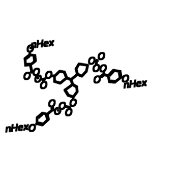 CCCCCCOc1ccc(C(=O)OOC(=O)OC2CCC(C(C3CCC(OC(=O)OOC(=O)c4ccc(OCCCCCC)cc4)CC3)C3CCC(OC(=O)OOC(=O)c4ccc(OCCCCCC)cc4)CC3)CC2)cc1